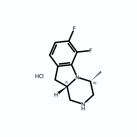 C[C@@H]1CNC[C@@H]2Cc3ccc(F)c(F)c3N21.Cl